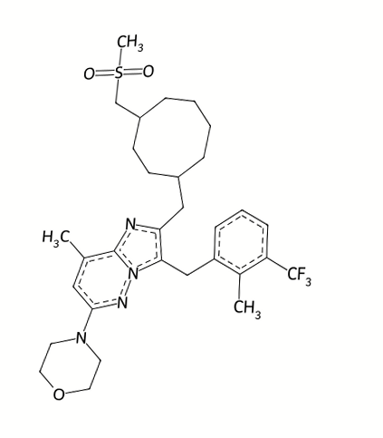 Cc1c(Cc2c(CC3CCCCC(CS(C)(=O)=O)CC3)nc3c(C)cc(N4CCOCC4)nn23)cccc1C(F)(F)F